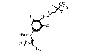 CC(C)=CC(c1cc(F)c(OCOCC(F)(F)C(F)(F)F)c(F)c1)C(C)(C)C